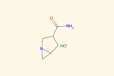 Cl.NC(=O)C1CC2CN2C1